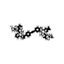 COC(=O)N[C@H](C(=O)N1CC2(CC2)C[C@H]1c1nc2ccc(C#Cc3ccc(-c4cnc([C@@H]5CCCN5C(=O)[C@H](NC(=O)OC)c5ccco5)[nH]4)cc3)cc2[nH]1)C(C)C